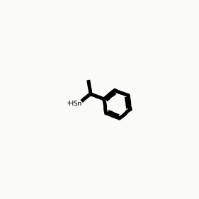 C[CH]([SnH])c1ccccc1